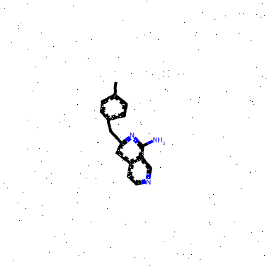 Cc1ccc(Cc2cc3ccncc3c(N)n2)cc1